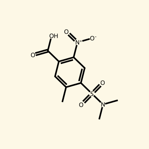 Cc1cc(C(=O)O)c([N+](=O)[O-])cc1S(=O)(=O)N(C)C